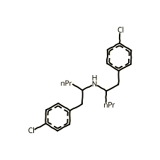 CCCC(Cc1ccc(Cl)cc1)NC(CCC)Cc1ccc(Cl)cc1